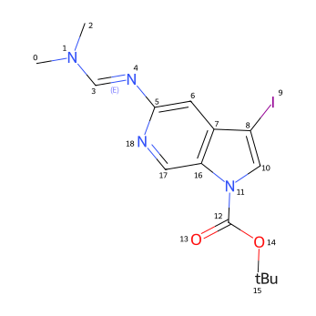 CN(C)/C=N/c1cc2c(I)cn(C(=O)OC(C)(C)C)c2cn1